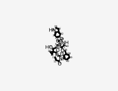 C[C@H](NP(=O)(OC[C@H]1O[C@@H](n2ccc(=O)[nH]c2=O)C2(CC2)[C@@H]1O)Oc1ccc2[nH]ccc2c1)C(=O)OCc1ccccc1